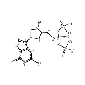 Nc1nc2c(ncn2[C@H]2C[C@H](O)[C@@H](COP(=O)(OP(=O)(O)O)OP(=O)(O)O)O2)c(=O)[nH]1